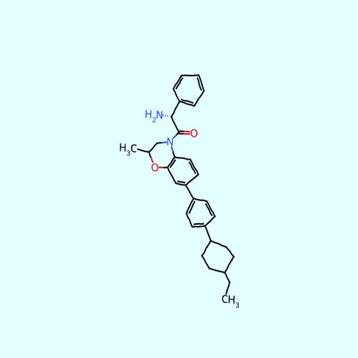 CCC1CCC(c2ccc(-c3ccc4c(c3)OC(C)CN4C(=O)[C@H](N)c3ccccc3)cc2)CC1